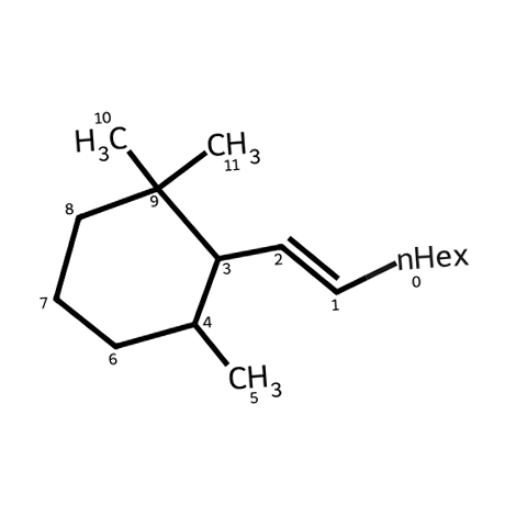 CCCCCC/C=C/C1C(C)CCCC1(C)C